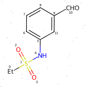 CCS(=O)(=O)Nc1cccc(C=O)c1